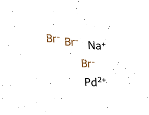 [Br-].[Br-].[Br-].[Na+].[Pd+2]